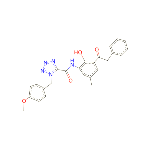 COc1ccc(Cn2nnnc2C(=O)Nc2cc(C)cc(C(=O)Cc3ccccc3)c2O)cc1